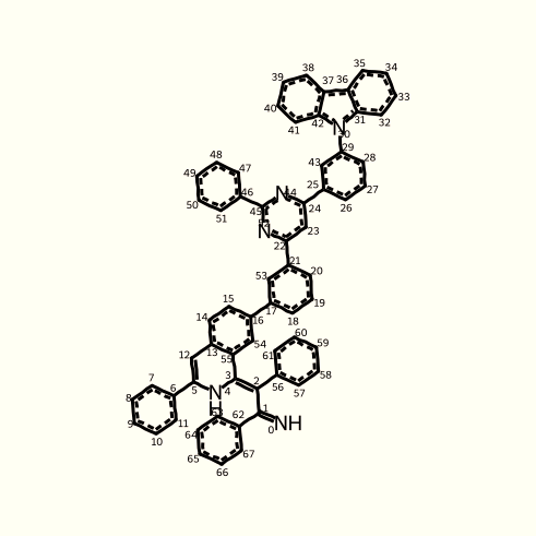 N=C(/C(=C1\NC(c2ccccc2)=Cc2ccc(-c3cccc(-c4cc(-c5cccc(-n6c7ccccc7c7ccccc76)c5)nc(-c5ccccc5)n4)c3)cc21)c1ccccc1)c1ccccc1